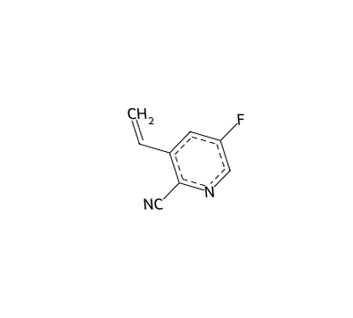 C=Cc1cc(F)cnc1C#N